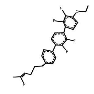 CCOc1ccc(-c2ccc(-c3ccc(CCC/C=C(/C)F)cc3)c(F)c2F)c(F)c1F